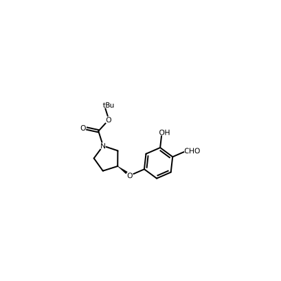 CC(C)(C)OC(=O)N1CC[C@H](Oc2ccc(C=O)c(O)c2)C1